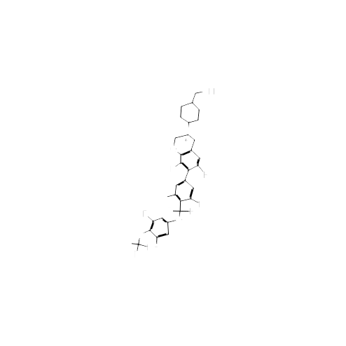 CCC1CCC([C@@H]2COc3c(cc(F)c(-c4cc(F)c(C(F)(F)Oc5cc(F)c(OC(F)(F)F)c(F)c5)c(F)c4)c3F)C2)CC1